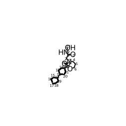 O=C(CN1CCCOP1(=O)c1ccc(-c2ccccc2)cc1)NO